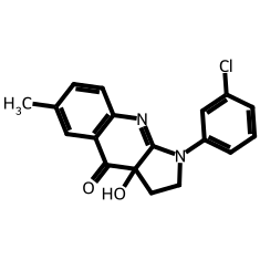 Cc1ccc2c(c1)C(=O)C1(O)CCN(c3cccc(Cl)c3)C1=N2